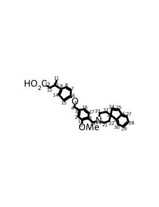 COc1cc(COc2ccc(C(C)CC(=O)O)cc2)ccc1CN1CCC2(C=Cc3ccccc32)CC1